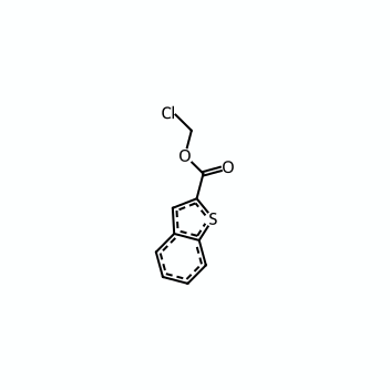 O=C(OCCl)c1cc2ccccc2s1